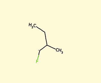 CCC(C)[CH]F